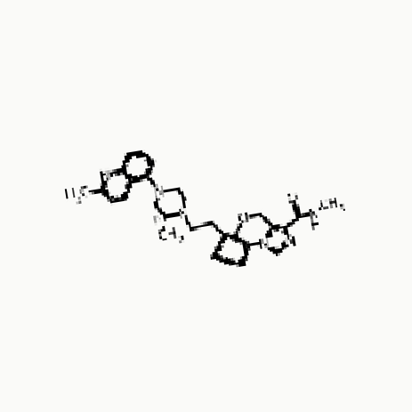 CNC(=O)c1ncn2c1COc1c(CCN3CCN(c4cccc5nc(C)ccc45)C[C@H]3C)cccc1-2